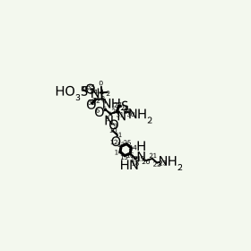 CC1(C)C(NC(=O)C(=NOCCOc2ccc(C(=N)NCCCN)cc2)c2csc(N)n2)C(=O)N1OS(=O)(=O)O